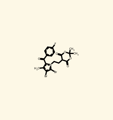 Cc1c(Br)c(Br)n(CCC2C(=O)OC(C)(C)OC2=O)c1C(=O)c1ccc(F)cc1